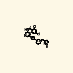 C[C@@H](Nc1cncc(N2CC([C@@H]3CCCN(Cc4cc[nH]n4)C3)C2)n1)c1ccc(Cl)cc1Cl